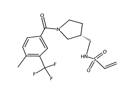 C=CS(=O)(=O)NC[C@H]1CCN(C(=O)c2ccc(C)c(C(F)(F)F)c2)C1